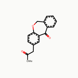 COC(=O)Cc1ccc2c(c1)C(=O)c1ccccc1CO2